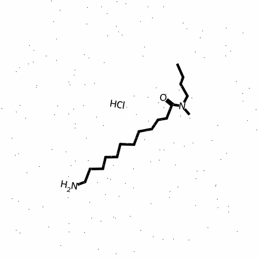 CCCCN(C)C(=O)CCCCCCCCCCCN.Cl